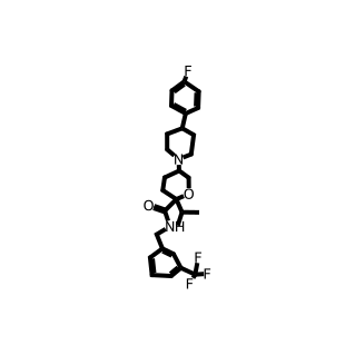 CC(C)C1(C(=O)NCc2cccc(C(F)(F)F)c2)CCC(N2CCC(c3ccc(F)cc3)CC2)CO1